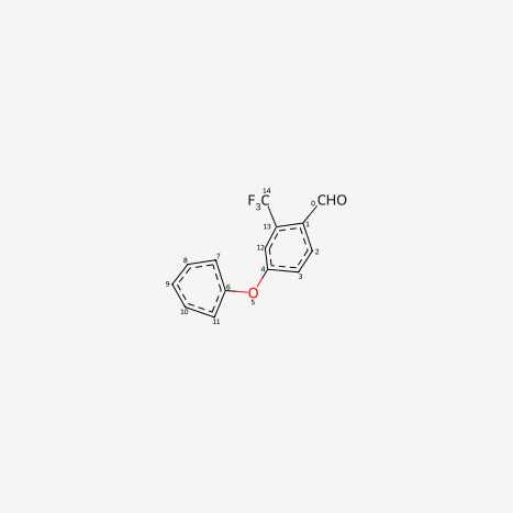 O=Cc1ccc(Oc2ccccc2)cc1C(F)(F)F